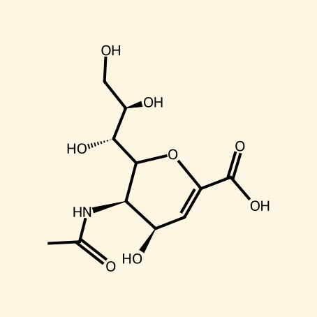 CC(=O)N[C@H]1C([C@H](O)[C@H](O)CO)OC(C(=O)O)=C[C@H]1O